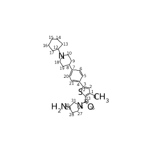 Cc1cc(-c2ccc(C3CCN(C4CCCCC4)CC3)cc2)sc1C(=O)N1CC[C@H](N)C1